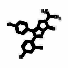 CC(C)N1Cc2c(-c3ccc(Cl)cc3)c(-c3ccc(Cl)cc3Cl)nn2C1=O